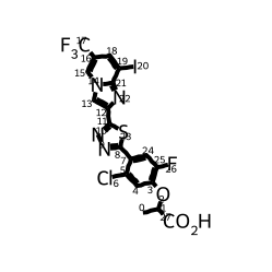 CC(Oc1cc(Cl)c(-c2nnc(-c3cn4cc(C(F)(F)F)cc(I)c4n3)s2)cc1F)C(=O)O